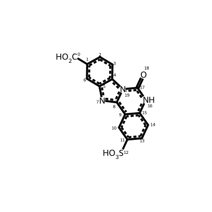 O=C(O)c1ccc2c(c1)nc1c3cc(S(=O)(=O)O)ccc3[nH]c(=O)n21